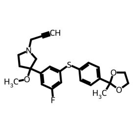 C#CCN1CCC(OC)(c2cc(F)cc(Sc3ccc(C4(C)OCCO4)cc3)c2)C1